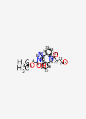 CC(C)OCC(O)n1cnc2c1-c1ccccc1CN(C(=O)CCC=O)c1ccccc1-2